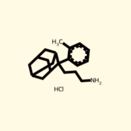 Cc1ccccc1C1(CCCN)C2CC3CC(C2)CC1C3.Cl